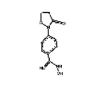 N=C(NO)c1ccc(N2OCCC2=O)cc1